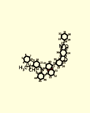 CC1(C)c2ccccc2-c2ccc(N(c3ccc(-c4ccc5oc6cc7oc(-c8ccccc8)nc7cc6c5c4)cc3)c3ccccc3-c3ccccc3)cc21